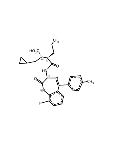 Cc1ccc(C2=N[C@H](NC(=O)[C@H](CCC(F)(F)F)[C@H](CC3CC3)C(=O)O)C(=O)Nc3c(F)cccc32)cc1